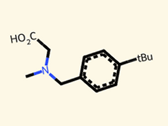 CN(CC(=O)O)Cc1ccc(C(C)(C)C)cc1